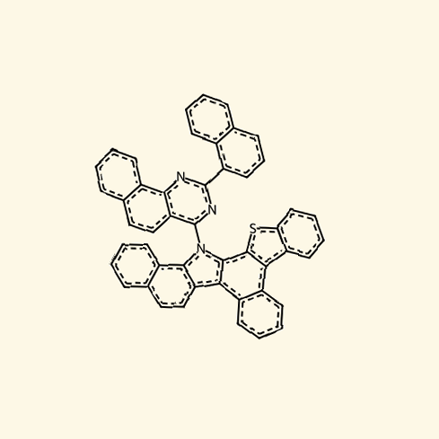 c1ccc2c(-c3nc(-n4c5c6ccccc6ccc5c5c6ccccc6c6c7ccccc7sc6c54)c4ccc5ccccc5c4n3)cccc2c1